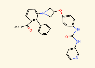 COC(=O)c1cccc(N2CC(Oc3ccc(NC(=O)Nc4cccnc4)cc3)C2)c1-c1ccccc1